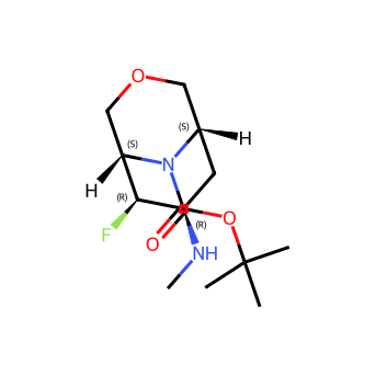 CN[C@@H]1C[C@H]2COC[C@@H]([C@@H]1F)N2C(=O)OC(C)(C)C